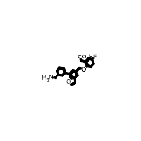 NCc1cccc(-c2cc(COc3ccc(F)cc3CC(=O)O)cc3ccoc23)c1